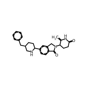 C=C1NC(=O)CCC1N1Cc2cc(C3CCC(Cc4ccccc4)CN3)ccc2C1=O